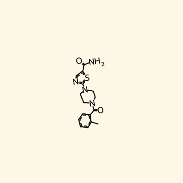 Cc1ccccc1C(=O)N1CCN(c2ncc(C(N)=O)s2)CC1